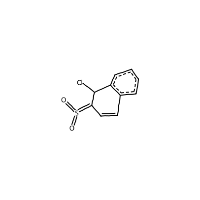 O=S(=O)=C1C=Cc2ccccc2C1Cl